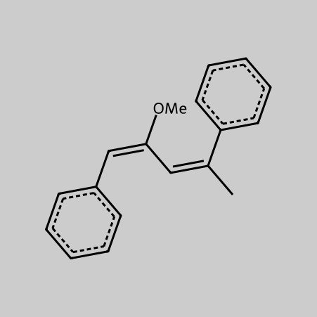 COC(=Cc1ccccc1)C=C(C)c1ccccc1